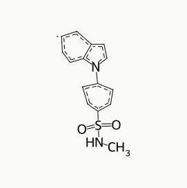 CNS(=O)(=O)c1ccc(-n2ccc3c[c]ccc32)cc1